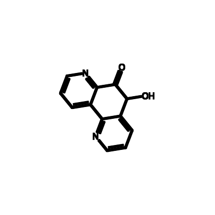 O=C1c2ncccc2-c2ncccc2C1O